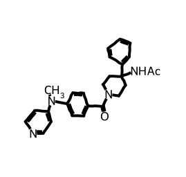 CC(=O)NC1(c2ccccc2)CCN(C(=O)c2ccc(N(C)c3ccncc3)cc2)CC1